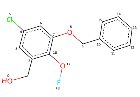 OCc1cc(Cl)cc(OCc2ccccc2)c1OF